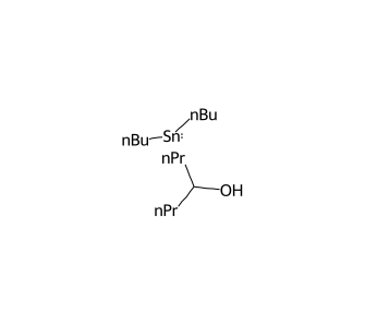 CCCC(O)CCC.CCC[CH2][Sn][CH2]CCC